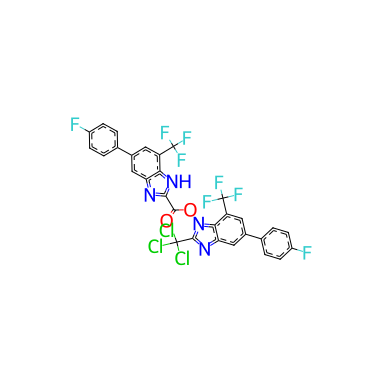 O=C(On1c(C(Cl)(Cl)Cl)nc2cc(-c3ccc(F)cc3)cc(C(F)(F)F)c21)c1nc2cc(-c3ccc(F)cc3)cc(C(F)(F)F)c2[nH]1